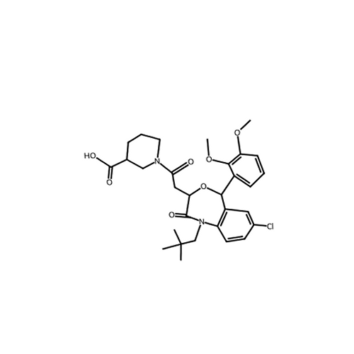 COc1cccc(C2OC(CC(=O)N3CCCC(C(=O)O)C3)C(=O)N(CC(C)(C)C)c3ccc(Cl)cc32)c1OC